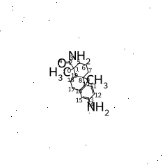 CC1(C(N)=O)CCCC2(C)c3ccc(N)cc3CCC12